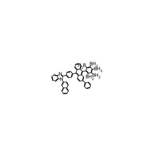 Bc1c(B)c(B)c(-c2c3ccccc3c(-c3ccc(-c4nc5ccccc5n4-c4ccc5ccccc5c4)cc3)c3ccc(-c4ccccc4)cc23)c(B)c1B